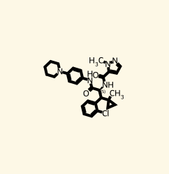 Cn1nccc1C(=O)N[C@H](C(=O)Nc1ccc(N2CCCCC2)cc1)C(c1ccccc1Cl)C1(C)CC1